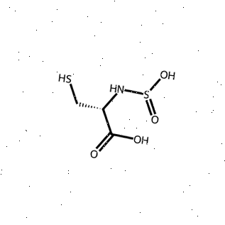 O=C(O)[C@H](CS)NS(=O)O